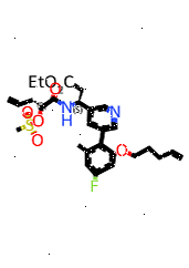 C=CCCCOc1cc(F)cc(C)c1-c1cncc([C@H](CC(=O)OCC)NC(=O)[C@@H](CC=C)OS(C)(=O)=O)c1